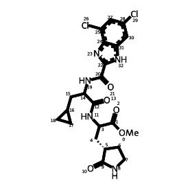 COC(=O)C(C[C@@H]1CCNC1=O)NC(=O)C(CC1CC1)NC(=O)c1nc2c(Cl)cc(Cl)cc2[nH]1